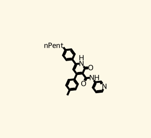 CCCCCc1ccc(-c2cc(-c3ccc(C)cc3)c(C(=O)Nc3cccnc3)c(=O)[nH]2)cc1